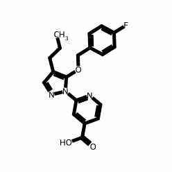 CCCc1cnn(-c2cc(C(=O)O)ccn2)c1OCc1ccc(F)cc1